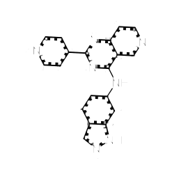 c1cc(-c2nc(Nc3ccc4cn[nH]c4c3)c3cnccc3n2)ccn1